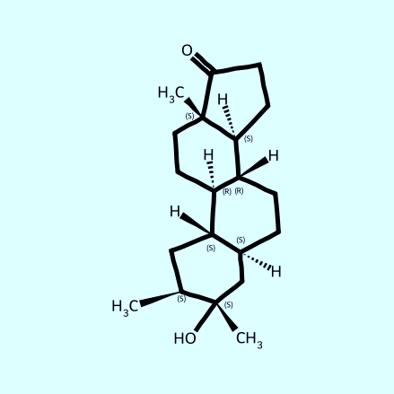 C[C@H]1C[C@H]2[C@@H](CC[C@@H]3[C@@H]2CC[C@]2(C)C(=O)CC[C@@H]32)C[C@]1(C)O